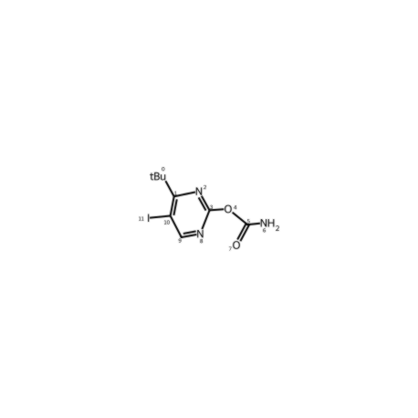 CC(C)(C)c1nc(OC(N)=O)ncc1I